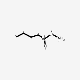 CCC[CH2][Al]([Cl])[O][AlH2]